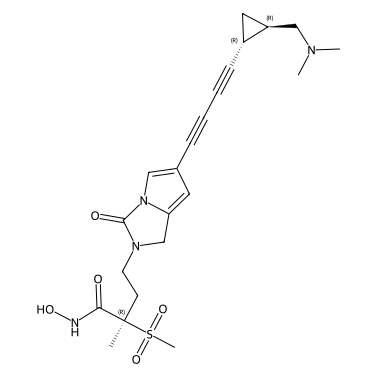 CN(C)C[C@@H]1C[C@H]1C#CC#Cc1cc2n(c1)C(=O)N(CC[C@](C)(C(=O)NO)S(C)(=O)=O)C2